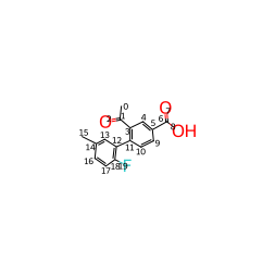 CC(=O)c1cc(C(=O)O)ccc1-c1cc(C)ccc1F